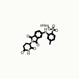 CCCCCCOS(=O)(=O)c1ccc(C)cc1Nc1ccc2c(c1)C(=O)N(C1CCC(=O)NC1=O)C2=O